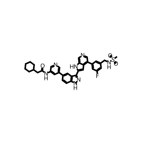 CS(=O)(=O)NCc1cc(F)cc(-c2cncc3[nH]c(-c4n[nH]c5ccc(-c6cncc(NC(=O)CC7CCCCC7)c6)cc45)cc23)c1